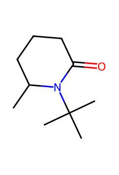 CC1CCCC(=O)N1C(C)(C)C